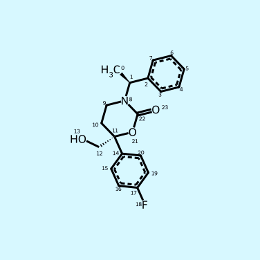 C[C@@H](c1ccccc1)N1CC[C@](CO)(c2ccc(F)cc2)OC1=O